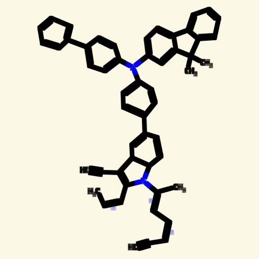 C#C/C=C\C=C(/C)N1C(/C=C\C)=C(C#C)C2C=C(c3ccc(N(c4ccc(-c5ccccc5)cc4)c4ccc5c(c4)C(C)(C)c4ccccc4-5)cc3)C=CC21